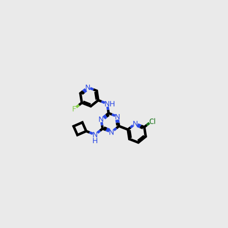 Fc1cncc(Nc2nc(NC3CCC3)nc(-c3cccc(Cl)n3)n2)c1